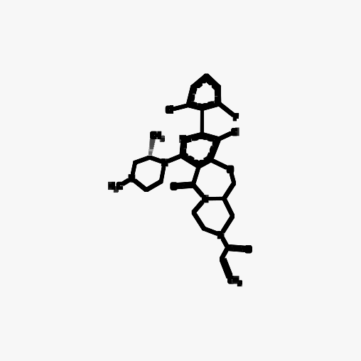 C=CC(=O)N1CCN2C(=O)c3c(N4CCN(C)C[C@@H]4C)nc(-c4c(F)cccc4Cl)c(Cl)c3OCC2C1